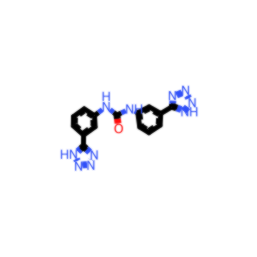 O=C(Nc1cccc(-c2nnn[nH]2)c1)Nc1cccc(-c2nnn[nH]2)c1